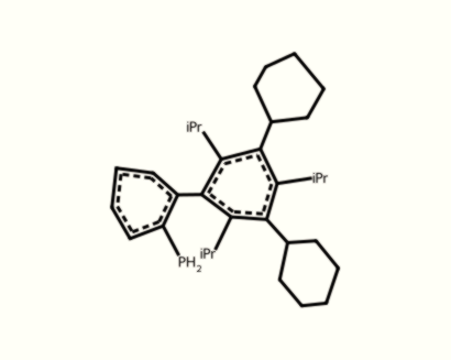 CC(C)c1c(-c2ccccc2P)c(C(C)C)c(C2CCCCC2)c(C(C)C)c1C1CCCCC1